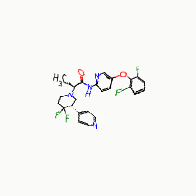 C[C@@H](C(=O)Nc1ccc(Oc2c(F)cccc2F)cn1)N1CCC(F)(F)[C@@H](c2ccncc2)C1